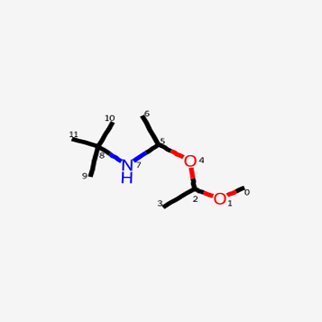 COC(C)OC(C)NC(C)(C)C